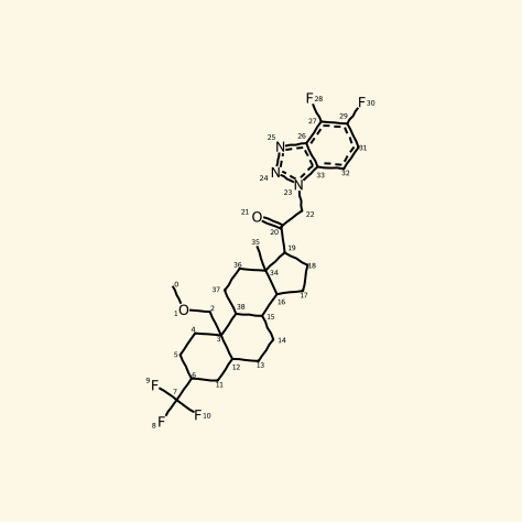 COCC12CCC(C(F)(F)F)CC1CCC1C3CCC(C(=O)Cn4nnc5c(F)c(F)ccc54)C3(C)CCC12